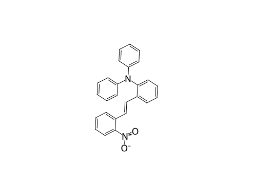 O=[N+]([O-])c1ccccc1C=Cc1ccccc1N(c1ccccc1)c1ccccc1